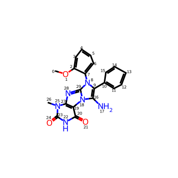 COc1ccccc1-n1c(-c2ccccc2)c(N)n2c3c(=O)[nH]c(=O)n(C)c3nc12